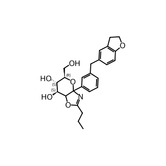 CCCC1=NC2(c3cccc(Cc4ccc5c(c4)CCO5)c3)O[C@H](CO)[C@@H](O)[C@H](O)C2O1